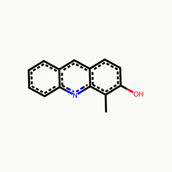 Cc1c(O)ccc2cc3ccccc3nc12